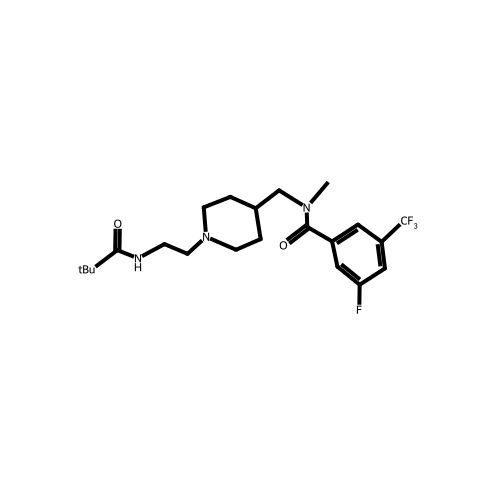 CN(CC1CCN(CCNC(=O)C(C)(C)C)CC1)C(=O)c1cc(F)cc(C(F)(F)F)c1